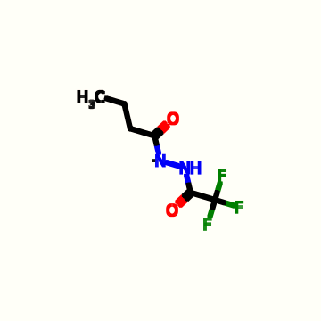 CCCC(=O)[N]NC(=O)C(F)(F)F